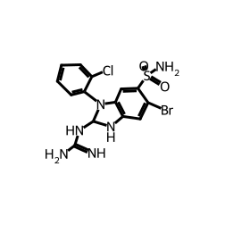 N=C(N)NC1Nc2cc(Br)c(S(N)(=O)=O)cc2N1c1ccccc1Cl